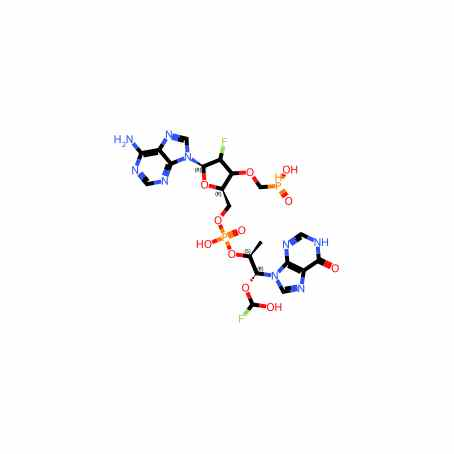 C[C@H](OP(=O)(O)OC[C@H]1O[C@@H](n2cnc3c(N)ncnc32)C(F)C1OC[PH](=O)O)[C@@H](OC(O)F)n1cnc2c(=O)[nH]cnc21